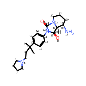 CC(C)(CCN1CCCC1)c1ccc(N2C(=O)[C@@H]3[C@H](N)CCCN3C2=O)cc1